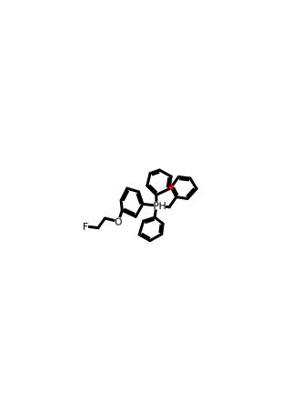 FCCOc1cccc([PH](Cc2ccccc2)(c2ccccc2)c2ccccc2)c1